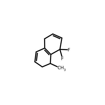 CC1CC=CC2=C1C(F)(F)C=CC2